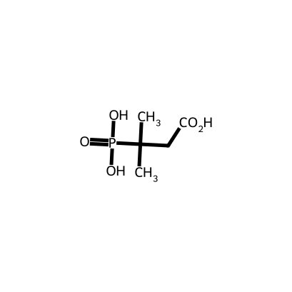 CC(C)(CC(=O)O)P(=O)(O)O